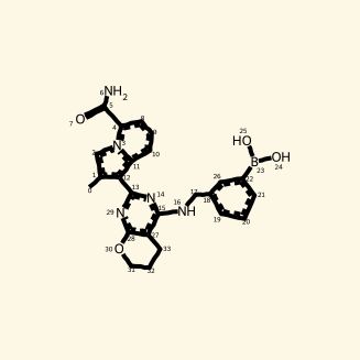 Cc1cn2c(C(N)=O)cccc2c1-c1nc(NCc2cccc(B(O)O)c2)c2c(n1)OCCC2